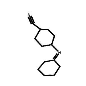 N#CC1CCC(N=C2CCCCC2)CC1